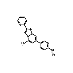 CC(C)Nc1ccc(-c2cc(N)n3nc(-c4ccccn4)nc3c2)cn1